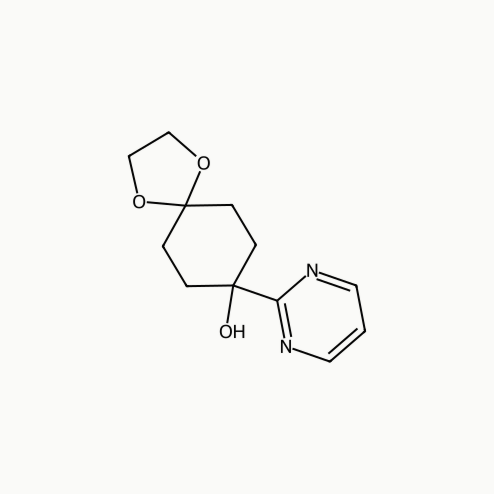 OC1(c2ncccn2)CCC2(CC1)OCCO2